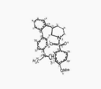 COc1ccc(S(=O)(=O)N2CCCC(c3ccccc3-c3cnc(N(C)C)nc3)C2)cc1